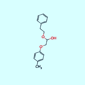 Cc1ccc(OCC(O)OCCc2ccccc2)cc1